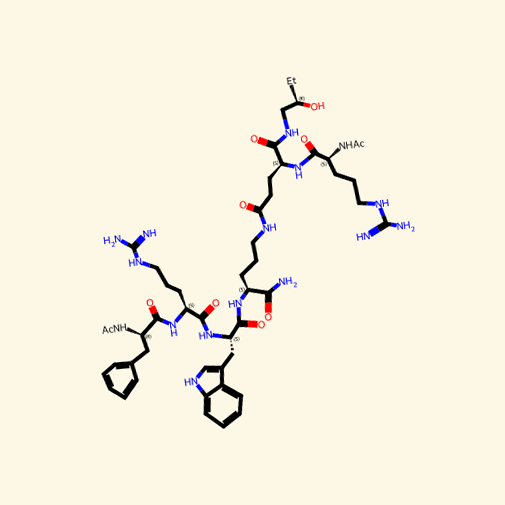 CC[C@@H](O)CNC(=O)[C@H](CCC(=O)NCCC[C@H](NC(=O)[C@H](Cc1c[nH]c2ccccc12)NC(=O)[C@H](CCCNC(=N)N)NC(=O)[C@@H](Cc1ccccc1)NC(C)=O)C(N)=O)NC(=O)[C@H](CCCNC(=N)N)NC(C)=O